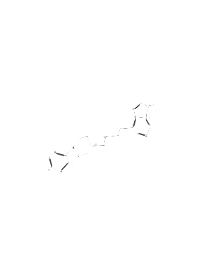 Cn1ccc2c(CCCCN3CCC(O)(c4ccccc4)CC3)cccc21